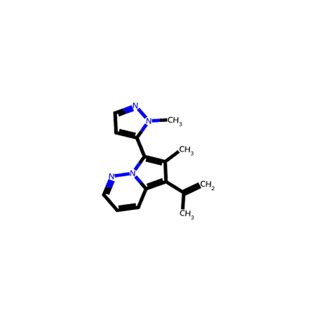 C=C(C)c1c(C)c(-c2ccnn2C)n2ncccc12